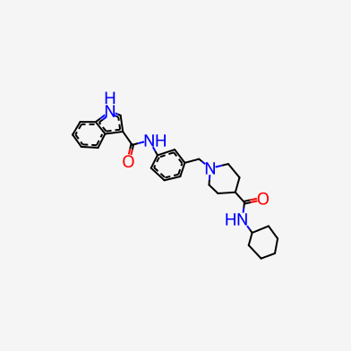 O=C(Nc1cccc(CN2CCC(C(=O)NC3CCCCC3)CC2)c1)c1c[nH]c2ccccc12